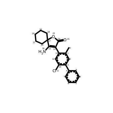 Cc1cc(-c2ccccc2)c(Cl)cc1C1=C(N)C2(CCCCC2)OC1=O